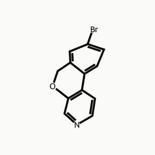 Brc1ccc2c(c1)COc1cnccc1-2